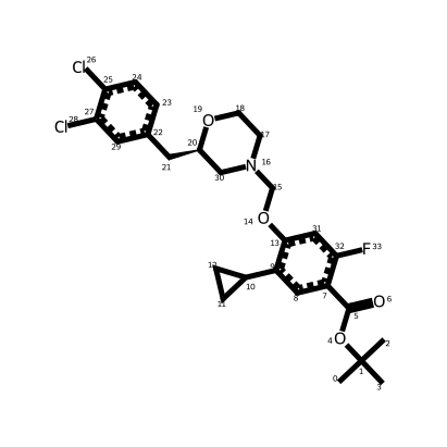 CC(C)(C)OC(=O)c1cc(C2CC2)c(OCN2CCO[C@H](Cc3ccc(Cl)c(Cl)c3)C2)cc1F